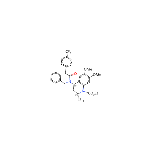 CCOC(=O)N1c2cc(OC)c(OC)cc2[C@@H](N(Cc2ccccc2)C(=O)Cc2ccc(C(F)(F)F)cc2)C[C@H]1C